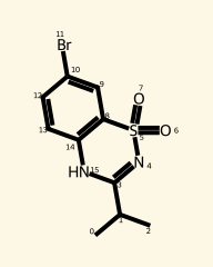 CC(C)C1=NS(=O)(=O)c2cc(Br)ccc2N1